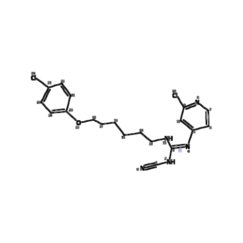 N#CN/C(=N/c1ccnc(Cl)c1)NCCCCCCOc1ccc(Cl)cc1